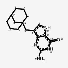 Nc1nc2c(CC34CCCC(CCC3)C4)c[nH]c2c(=O)[nH]1